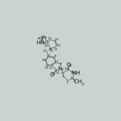 C=C1CCC(N2Cc3cc(C[C@H]4CC=CC[C@@H]4NC(C)C)ccc3C2=O)C(=O)N1